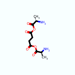 C[C@H](N)C(=O)OC(=O)CCC(=O)OC(=O)[C@H](C)N